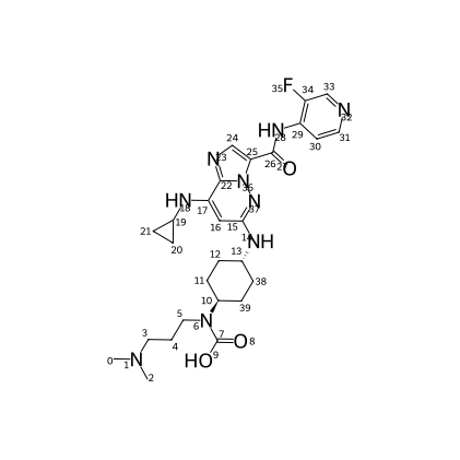 CN(C)CCCN(C(=O)O)[C@H]1CC[C@H](Nc2cc(NC3CC3)c3ncc(C(=O)Nc4ccncc4F)n3n2)CC1